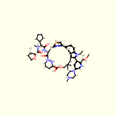 CCn1c(-c2cc(N3CCN(C)CC3)cnc2[C@H](C)OC)c2c3cc(ccc31)-c1csc(n1)C[C@H](NC(=O)[C@H](C1CCCC1)N(C)C(=O)[C@@H]1OCC[C@@H]1C)C(=O)N1CCC[C@@](O)(N1)C(=O)OCC(C)(C)C2